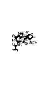 CC(C)C(=O)Nc1nc2c(ncn2[C@@H]2O[C@@]3(CO)CO[C@H]2C3CC(=O)O)c(=O)[nH]1